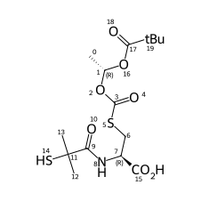 C[C@@H](OC(=O)SC[C@H](NC(=O)C(C)(C)S)C(=O)O)OC(=O)C(C)(C)C